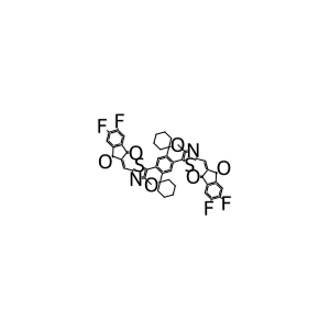 O=C1C(=Cc2nc3c(s2)-c2cc4c(cc2C2(CCCCC2)O3)-c2sc(C=C3C(=O)c5cc(F)c(F)cc5C3=O)nc2OC42CCCCC2)C(=O)c2cc(F)c(F)cc21